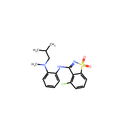 CC(C)CN(C)c1ccccc1NC1=NS(=O)(=O)c2cccc(F)c21